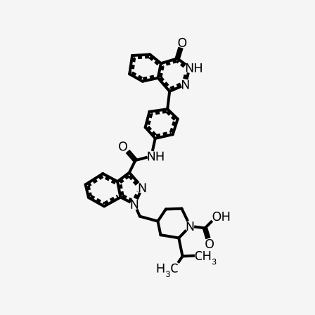 CC(C)C1CC(Cn2nc(C(=O)Nc3ccc(-c4n[nH]c(=O)c5ccccc45)cc3)c3ccccc32)CCN1C(=O)O